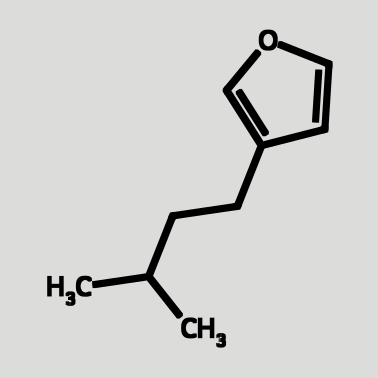 CC(C)CCc1ccoc1